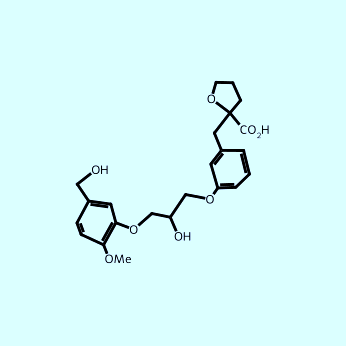 COc1ccc(CO)cc1OCC(O)COc1cccc(CC2(C(=O)O)CCCO2)c1